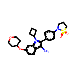 Nc1c(-c2ccc(N3CCCS3(=O)=O)cc2)n(C2CCC2)c2cc(OC3CCOCC3)ccc12